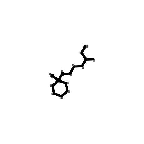 CCC(C)CCCOC1([O])CCCCC1